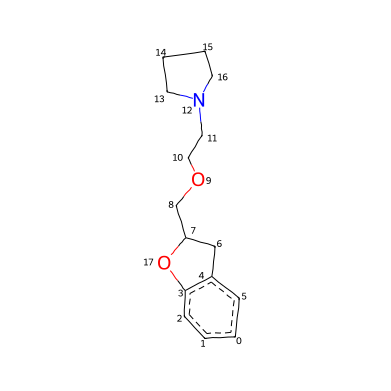 c1ccc2c(c1)CC(COCCN1CCCC1)O2